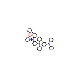 c1ccc(N(c2ccccc2)c2ccc3c(c2)-c2ccccc2C32c3ccccc3-c3ccc(N(c4ccccc4)c4cccc5c4oc4ccccc45)cc32)cc1